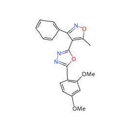 COc1ccc(-c2nnc(-c3c(-c4ccccc4)noc3C)o2)c(OC)c1